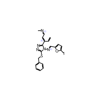 C=C/C(=C\C=N/C)c1nnc(SCc2ccccc2)n1/N=C/c1ccc(I)o1